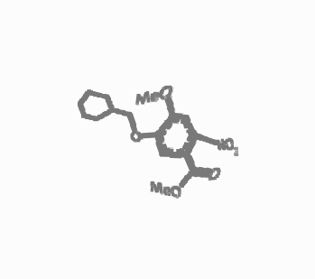 COC(=O)c1cc(OCC2CCCCC2)c(OC)cc1[N+](=O)[O-]